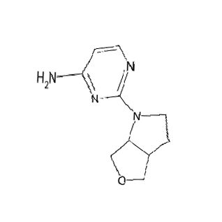 Nc1ccnc(N2CCC3COCC32)n1